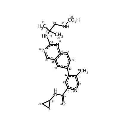 Cc1cnc(C(=O)NC2CC2)cc1-c1ccc2nc(NC(C)(C)CNC(=O)O)ncc2c1